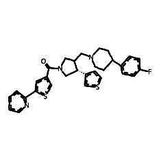 O=C(c1csc(-c2ccccn2)c1)N1CC(CN2CCC(c3ccc(F)cc3)CC2)[C@H](c2ccsc2)C1